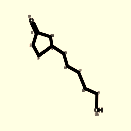 O=C1CCC(CCCCCO)C1